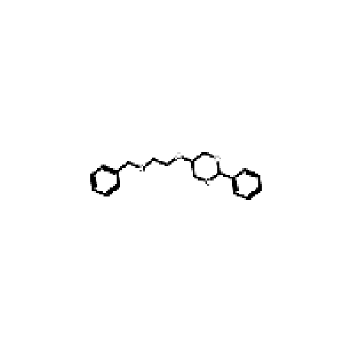 c1ccc(COCCOC2COC(c3ccccc3)OC2)cc1